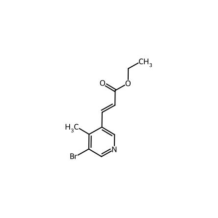 CCOC(=O)C=Cc1cncc(Br)c1C